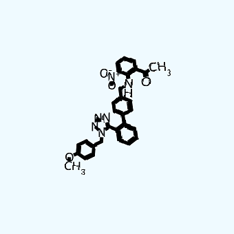 COc1ccc(Cn2nnnc2-c2ccccc2-c2ccc(CNc3c(C(C)=O)cccc3[N+](=O)[O-])cc2)cc1